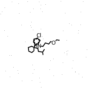 CCOCCCCNC(CC(C)C)C1(c2ccc(Cl)cc2)CCCCC1